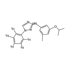 [2H]c1c([2H])c([2H])c(-n2cnc(Nc3cc(C)cc(OC(C)C)c3)n2)c([2H])c1[2H]